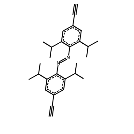 C#Cc1cc(C(C)C)c(N=Nc2c(C(C)C)cc(C#C)cc2C(C)C)c(C(C)C)c1